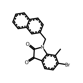 Cc1c(Br)ccc2c1N(Cc1ccc3ccccc3c1)C(=O)C2=O